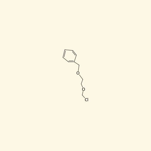 ClCOCCOCc1ccccc1